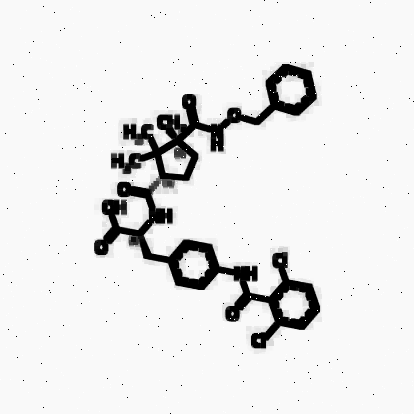 CC1(C)[C@@H](C(=O)N[C@@H](Cc2ccc(NC(=O)c3c(Cl)cccc3Cl)cc2)C(=O)O)CC[C@@]1(C)C(=O)NOCc1ccccc1